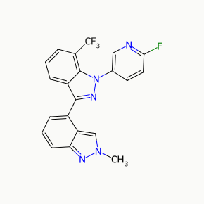 Cn1cc2c(-c3nn(-c4ccc(F)nc4)c4c(C(F)(F)F)cccc34)cccc2n1